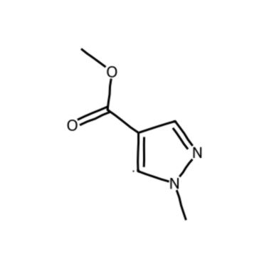 COC(=O)c1[c]n(C)nc1